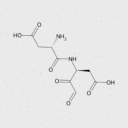 N[C@@H](CC(=O)O)C(=O)N[C@@H](CC(=O)O)C(=O)C=O